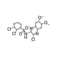 COc1cc2nc(Cl)c(NS(=O)(=O)c3cccc(Cl)c3Cl)nc2cc1OC